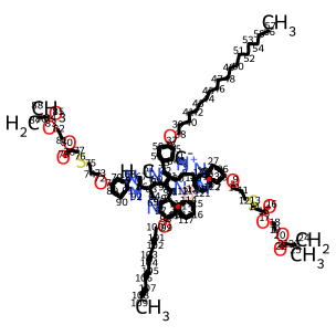 [C-]#[N+]/C(c1cnc2cc(OCCCSCC(=O)OCCOC(=O)C(=C)C)ccc2n1)=c1\c2c(-c3ccc(OCCCCCCCCCCCCCCCCCCCC)cc3)n(C)/c(=C(/C#N)c3cnc4cc(OCCCSCC(=O)OCCOC(=O)C(=C)C)ccc4n3)c2c(-c2ccc(OCC#CC#CC#CC#CC)cc2)n1B(c1ccccc1)c1ccccc1